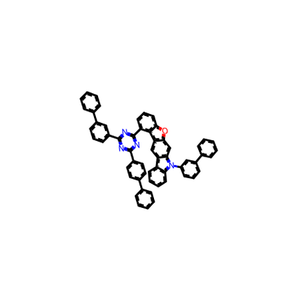 c1ccc(-c2ccc(-c3nc(-c4cccc(-c5ccccc5)c4)nc(-c4cccc5oc6cc7c(cc6c45)c4ccccc4n7-c4cccc(-c5ccccc5)c4)n3)cc2)cc1